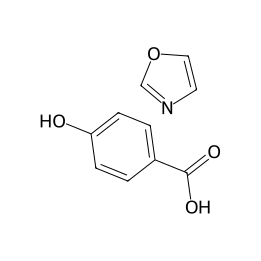 O=C(O)c1ccc(O)cc1.c1cocn1